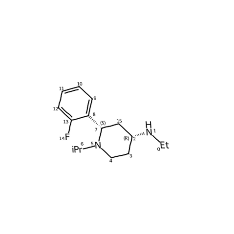 CCN[C@@H]1CCN(C(C)C)[C@H](c2ccccc2F)C1